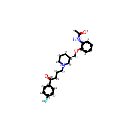 CC(=O)Nc1ccccc1OC[C@@H]1CCCN(CCCC(=O)c2ccc(F)cc2)C1